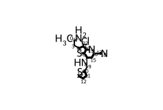 C[C@H](N)Cc1sc2c(NCc3cccs3)cc(C#N)nc2c1Cl